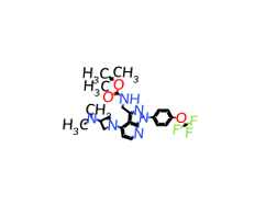 CN(C)C1CN(c2ccnc3c2c(CNC(=O)OC(C)(C)C)nn3-c2ccc(OC(F)(F)F)cc2)C1